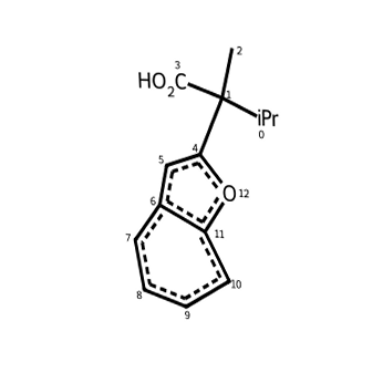 CC(C)C(C)(C(=O)O)c1cc2ccccc2o1